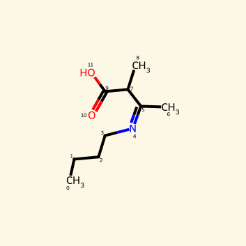 CCCCN=C(C)C(C)C(=O)O